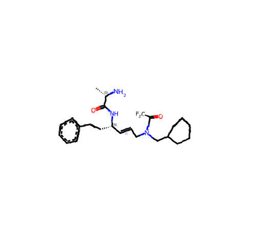 C[C@H](N)C(=O)N[C@H](/C=C/CN(CC1CCCCC1)C(=O)C(F)(F)F)CCc1ccccc1